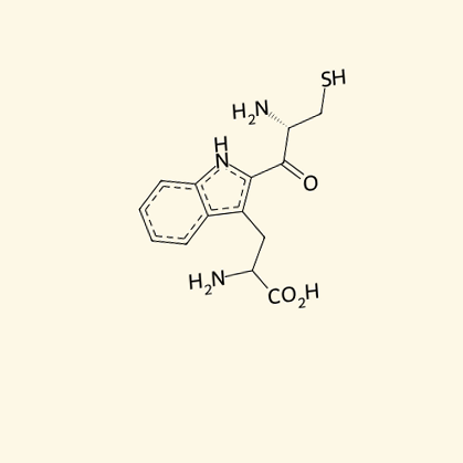 NC(Cc1c(C(=O)[C@H](N)CS)[nH]c2ccccc12)C(=O)O